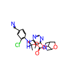 Cc1c(Nc2ccc(C#N)cc2Cl)ncnc1OC1C2COC1CN(C(=O)OC(C)(C)C)C2